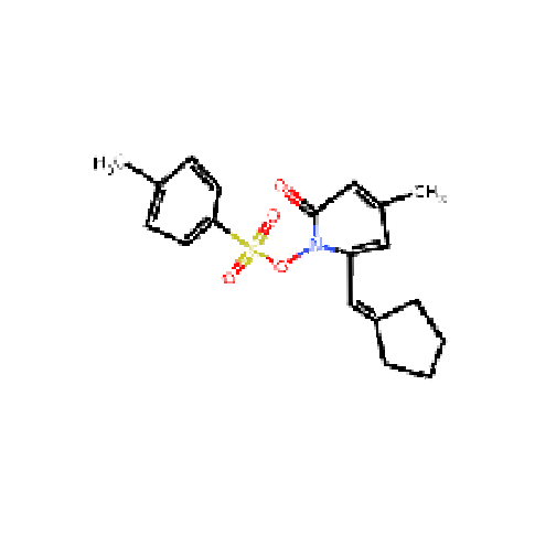 Cc1ccc(S(=O)(=O)On2c(C=C3CCCC3)cc(C)cc2=O)cc1